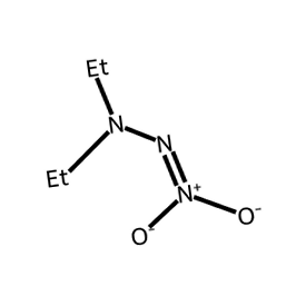 CCN(CC)N=[N+]([O-])[O-]